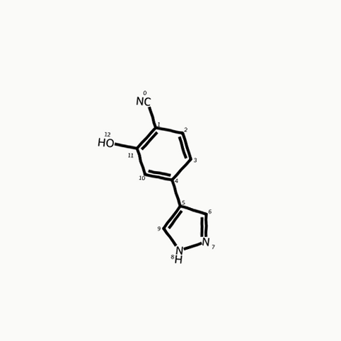 N#Cc1ccc(-c2cn[nH]c2)cc1O